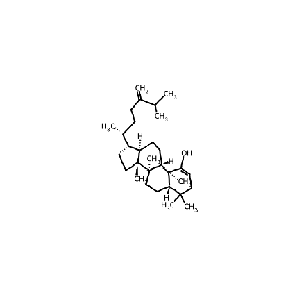 C=C(CC[C@@H](C)[C@H]1CC[C@]2(C)[C@@H]1CC[C@@H]1[C@@]3(C)C(O)=CCC(C)(C)[C@@H]3CC[C@]12C)C(C)C